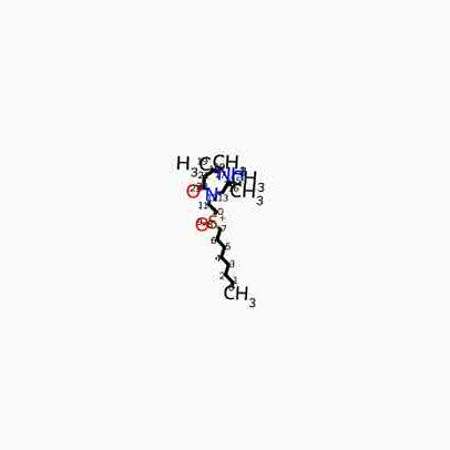 CCCCCCCC[S+]([O-])CCN1CC(C)(C)NC(C)(C)CC1=O